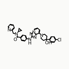 O=C(c1ccc(Nc2nc3c(N4CCC(O)(c5ccc(Cl)cc5)CC4)cccn3n2)cc1)N(Cc1ccccn1)C1CC1